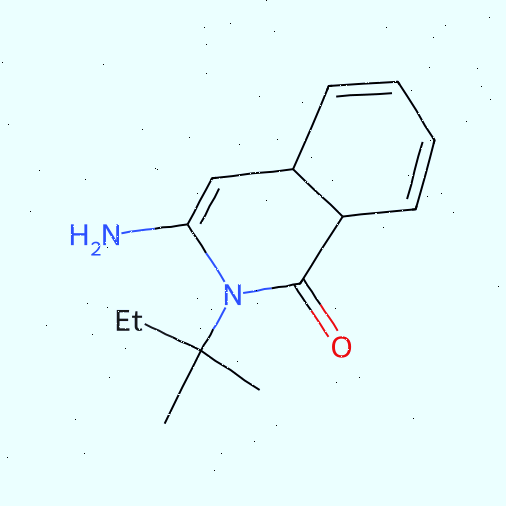 CCC(C)(C)N1C(=O)C2C=CC=CC2C=C1N